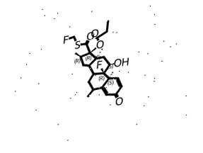 CCC(=O)O[C@]1(C(=O)SCF)[C@H](C)CC2C3CC(C)C4=CC(=O)C=C[C@]4(C)[C@@]3(F)[C@@H](O)C[C@@]21C